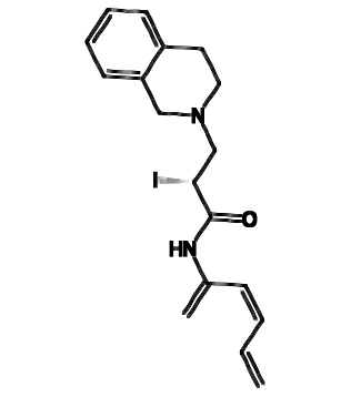 C=C/C=C\C(=C)NC(=O)[C@H](I)CN1CCc2ccccc2C1